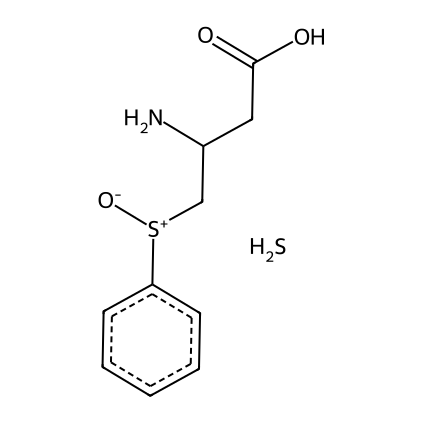 NC(CC(=O)O)C[S+]([O-])c1ccccc1.S